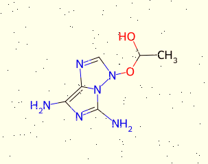 CC(O)On1cnc2c(N)nc(N)n21